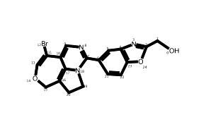 OCc1nc2cc(C3=NC=C4C(Br)=COCC5=C4N3CC5)ccc2o1